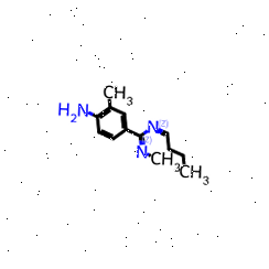 CCC/C=N\C(=N/C)c1ccc(N)c(C)c1